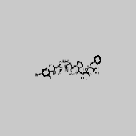 CC[C@H](C)[C@@H]([C@@H](CC(=O)N1CCC[C@H]1[C@H](OC)[C@@H](C)C(=O)N[C@@H](Cc1ccccc1)C(=O)OC)OC)N(C)C(=O)[C@@H](Nc1ncc(Br)cc1F)C(C)C